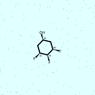 O[C@H]1C[C@@H](F)[C@@H](F)[C@@H](F)C1